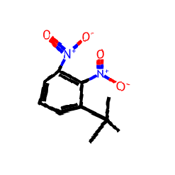 CC(C)(C)c1cccc([N+](=O)[O-])c1[N+](=O)[O-]